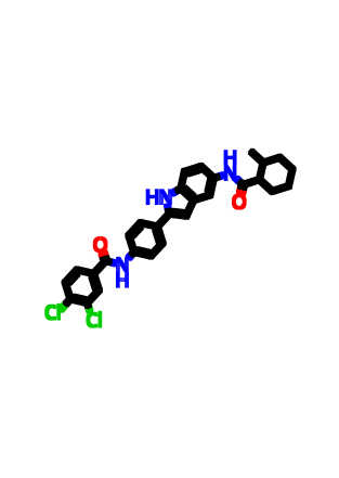 CC1CCCCC1C(=O)Nc1ccc2[nH]c(-c3ccc(NC(=O)c4ccc(Cl)c(Cl)c4)cc3)cc2c1